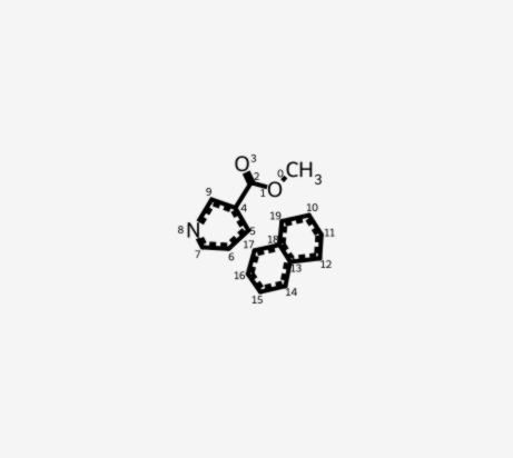 COC(=O)c1cccnc1.c1ccc2ccccc2c1